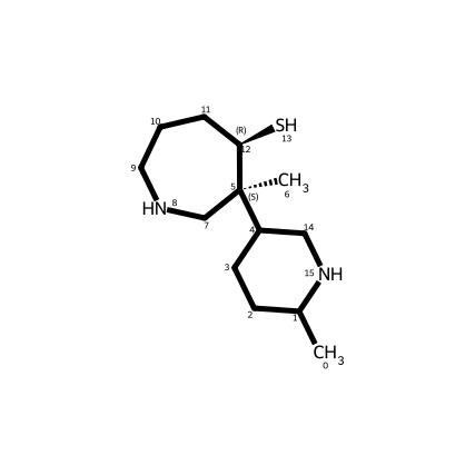 CC1CCC([C@@]2(C)CNCCC[C@H]2S)CN1